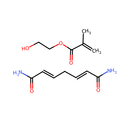 C=C(C)C(=O)OCCO.NC(=O)C=CCC=CC(N)=O